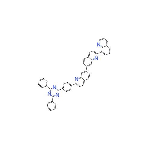 c1ccc(-c2nc(-c3ccccc3)nc(-c3ccc(-c4ccc5ccc(-c6ccc7ccc(-c8cccc9cccnc89)nc7c6)cc5n4)cc3)n2)cc1